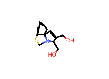 OCC1=CC23CC=CC=C2SCN3C1CO